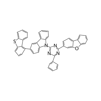 c1ccc(-c2nc(-c3ccc4c(c3)oc3ccccc34)nc(-n3c4ccccc4c4cc(-c5cccc6sc7ccccc7c56)ccc43)n2)cc1